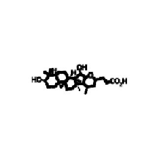 C[C@@H]1CC(CCC(=O)O)OC2C1[C@@]1(C)CCC34C[C@@]35CC[C@H](O)C(C)(C)[C@@H]5CC[C@H]4[C@]1(C)[C@H]2O